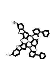 CCCCc1ccc2c(c1)oc1c3c4c(cc12)B1c2cccc(-c5ccccc5)c2Sc2cc5c6c(c21)N4c1c(cc2c(oc4cc(CCCC)ccc42)c1O3)B6c1cccc(-c2ccccc2)c1S5